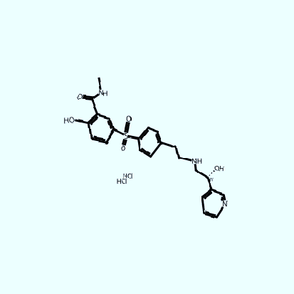 CNC(=O)c1cc(S(=O)(=O)c2ccc(CCNC[C@H](O)c3cccnc3)cc2)ccc1O.Cl.Cl